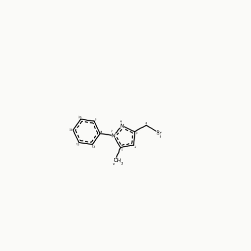 Cc1cc(CBr)nn1-c1ccccc1